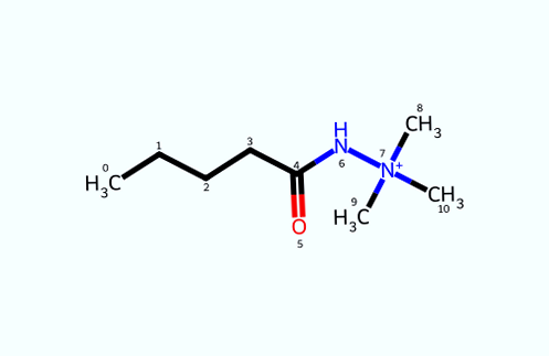 CCCCC(=O)N[N+](C)(C)C